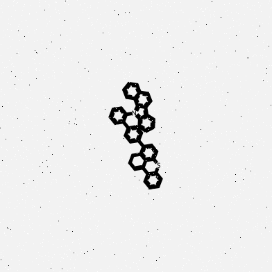 C1=C2c3ccccc3Sc3ccc(-c4ccc(-c5ccccc5-n5c6ccccc6c6ccc7ccccc7c65)cc4)c(c32)CC1